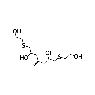 C=C(CC(O)CSCCO)CC(O)CSCCO